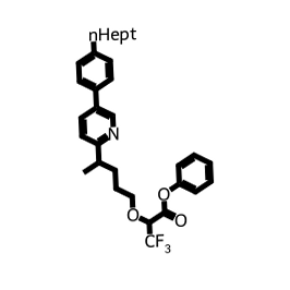 CCCCCCCc1ccc(-c2ccc(C(C)CCCOC(C(=O)Oc3ccccc3)C(F)(F)F)nc2)cc1